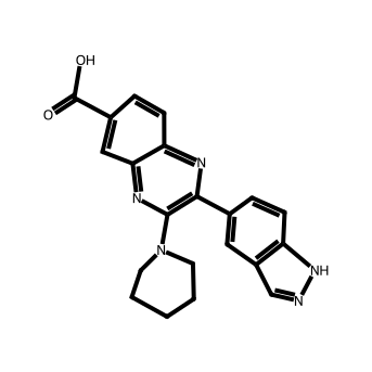 O=C(O)c1ccc2nc(-c3ccc4[nH]ncc4c3)c(N3CCCCC3)nc2c1